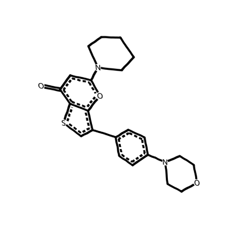 O=c1cc(N2CCCCC2)oc2c(-c3ccc(N4CCOCC4)cc3)csc12